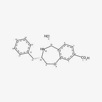 Cl.O=C(O)c1ccc2c(c1)OC[C@H](Cc1ccccc1)NC2